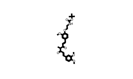 COc1ccc(/C=C/C(=O)C(C)C(=O)/C=C/c2ccc(OCCNC(=O)OC(C)(C)C)c(OC)c2)cc1OC